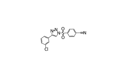 N#Cc1ccc(S(=O)(=O)n2cc(-c3cccc(Cl)c3)nn2)cc1